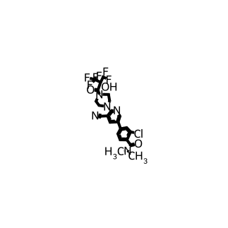 CN(C)C(=O)c1ccc(-c2cnc(N3CCN(C(=O)C(O)(C(F)(F)F)C(F)(F)F)CC3)c(C#N)c2)cc1Cl